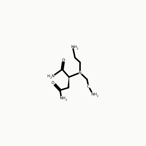 NCCN(CCN)[C@@H](CC(N)=O)C(N)=O